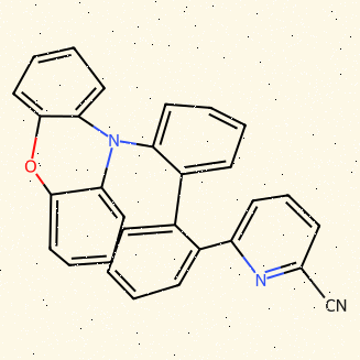 N#Cc1cccc(-c2ccccc2-c2ccccc2N2c3ccccc3Oc3ccccc32)n1